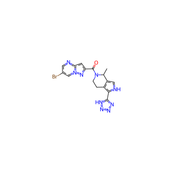 CC1c2c[nH]c(-c3nnn[nH]3)c2CCN1C(=O)c1cc2ncc(Br)cn2n1